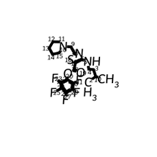 CC(C)CCNc1nc(CN2CCCCC2)sc1C(=O)Oc1c(F)c(F)c(F)c(F)c1F